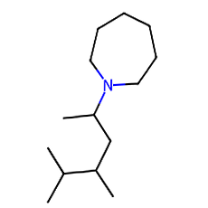 CC(C)C(C)CC(C)N1CCCCCC1